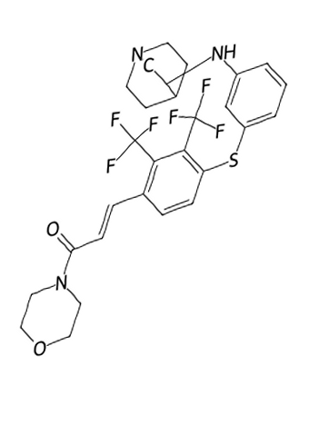 O=C(/C=C/c1ccc(Sc2cccc(NC3CN4CCC3CC4)c2)c(C(F)(F)F)c1C(F)(F)F)N1CCOCC1